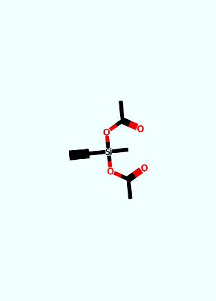 C#C[Si](C)(OC(C)=O)OC(C)=O